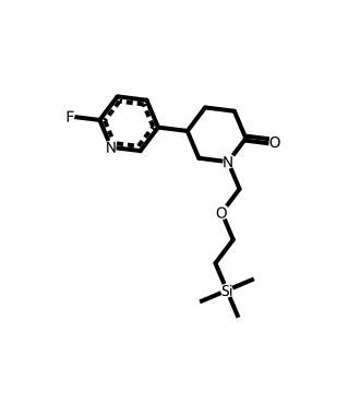 C[Si](C)(C)CCOCN1CC(c2ccc(F)nc2)CCC1=O